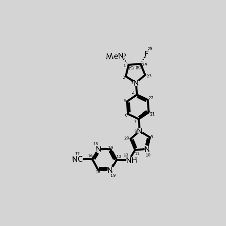 CN[C@H]1CN(c2ccc(-n3cnc(Nc4cnc(C#N)cn4)c3)cc2)C[C@H]1F